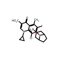 Cc1c(F)c(N2C3CCC2CC(N)C3)c(Cl)c2c1c(=O)c(C(=O)O)cn2C1CC1